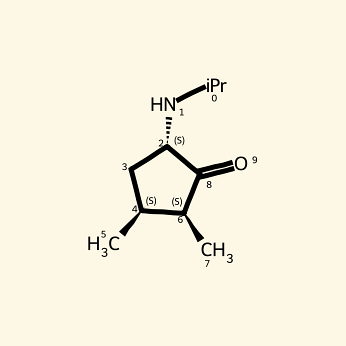 CC(C)N[C@H]1C[C@H](C)[C@H](C)C1=O